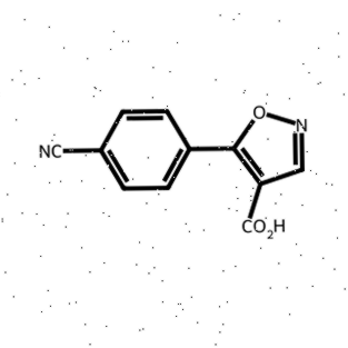 N#Cc1ccc(-c2oncc2C(=O)O)cc1